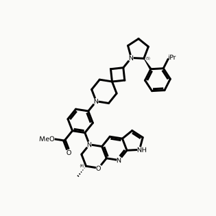 COC(=O)c1ccc(N2CCC3(CC2)CC(N2CCC[C@H]2c2ccccc2C(C)C)C3)cc1N1C[C@@H](C)Oc2nc3[nH]ccc3cc21